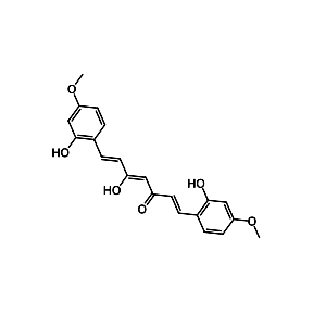 COc1ccc(C=CC(=O)C=C(O)C=Cc2ccc(OC)cc2O)c(O)c1